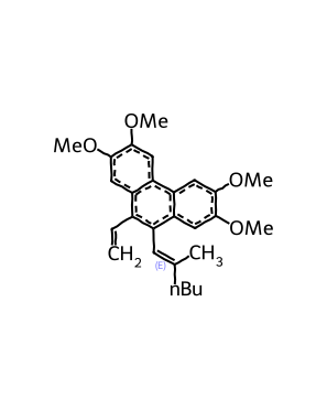 C=Cc1c(/C=C(\C)CCCC)c2cc(OC)c(OC)cc2c2cc(OC)c(OC)cc12